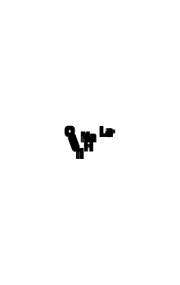 [La].[NaH].[O]=[Ti]